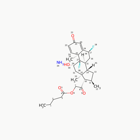 CCCCC(=O)OCC(=O)[C@H]1[C@H](C)C[C@H]2[C@@H]3C[C@H](F)C4=CC(=O)C=C[C@]4(C)[C@@]3(F)[C@@H](O)C[C@@]21C.N